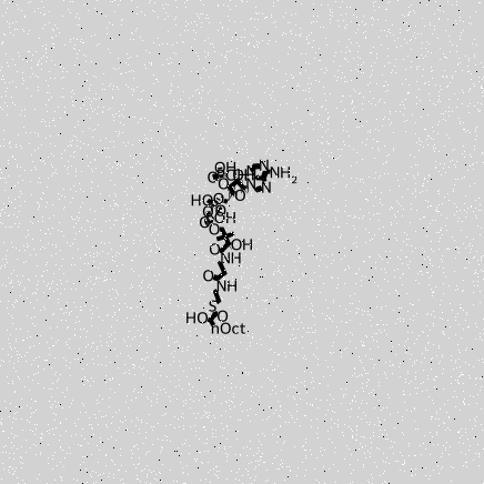 CCCCCCCCC(O)C(=O)SCCNC(=O)CCNC(=O)[C@H](O)C(C)(C)COP(=O)(O)OP(=O)(O)OC[C@H]1O[C@@H](n2cnc3c(N)ncnc32)[C@H](O)[C@@H]1OP(=O)(O)O